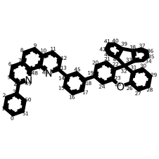 c1ccc(-c2ccc3ccc4ccc(-c5cccc(-c6ccc7c(c6)Oc6ccccc6C76c7ccccc7-c7ccccc76)c5)nc4c3n2)cc1